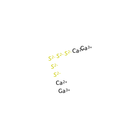 [Ca+2].[Ca+2].[Ga+3].[Ga+3].[S-2].[S-2].[S-2].[S-2].[S-2]